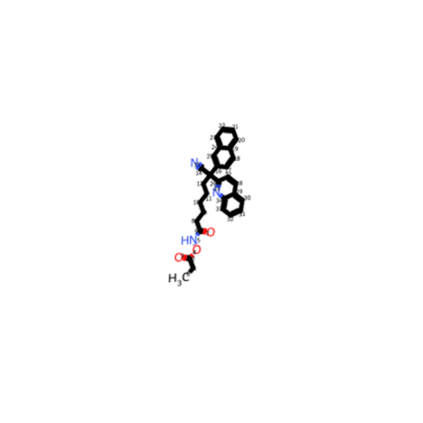 CCC(=O)ONC(=O)CCCCCC(C#N)(c1ccc2ccccc2c1)c1ccc2ccccc2n1